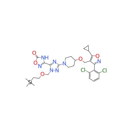 C[Si](C)(C)CCOCn1nc(N2CCC(OCc3c(-c4c(Cl)cccc4Cl)noc3C3CC3)CC2)nc1-c1noc(=O)[nH]1